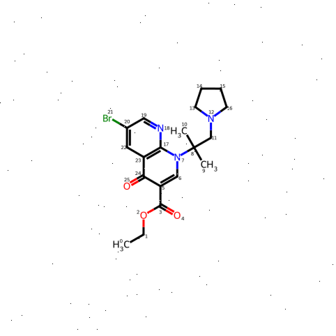 CCOC(=O)c1cn(C(C)(C)CN2CCCC2)c2ncc(Br)cc2c1=O